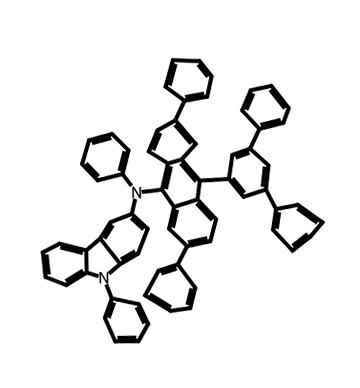 c1ccc(-c2cc(-c3ccccc3)cc(-c3c4cc(-c5ccccc5)ccc4c(N(c4ccccc4)c4ccc5c(c4)c4ccccc4n5-c4ccccc4)c4cc(-c5ccccc5)ccc34)c2)cc1